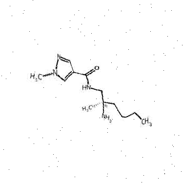 CCCC[C@@](C)(N)CNC(=O)c1cnn(C)c1